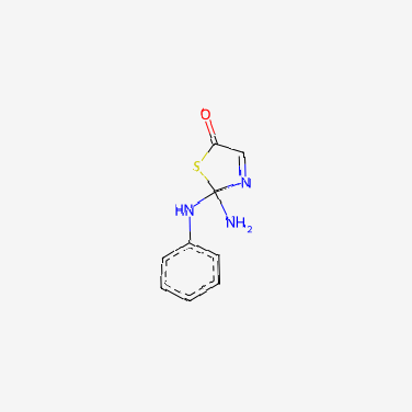 NC1(Nc2ccccc2)N=CC(=O)S1